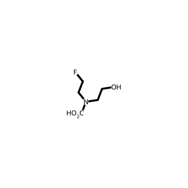 O=C(O)N(CCO)CCF